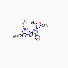 CCSCCNCc1cc(-c2ccc3c(N4CCOCC4)nc(N4CC(C)OC(C)C4)nc3n2)ccc1OC